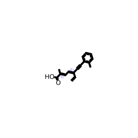 C=C/C(C#Cc1ccccc1C)=C\C=C(/C)C(=O)O